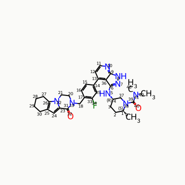 C[C@H]1CC[C@@H](Nc2n[nH]c3nccc(-c4ccc(CN5CCn6c(cc7c6CCCC7)C5=O)c(F)c4)c23)CN1C(=O)N(C)C